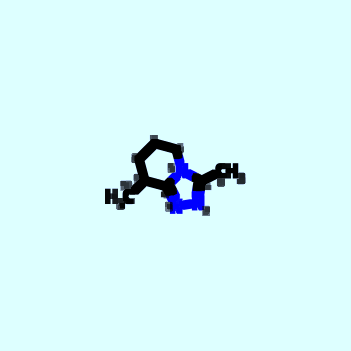 Cc1nnc2n1CCCC2C